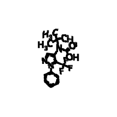 CC(C)(C)N(C(=O)O)c1cnn(-c2ccccc2)c1C(F)(F)F